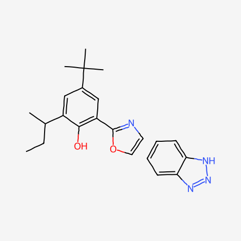 CCC(C)c1cc(C(C)(C)C)cc(-c2ncco2)c1O.c1ccc2[nH]nnc2c1